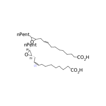 CCCCCC1OC1CC=CCCCCCCCC(=O)O.CCCCC[C@H]1O[C@H]1C/C=C\CCCCCCCC(=O)O